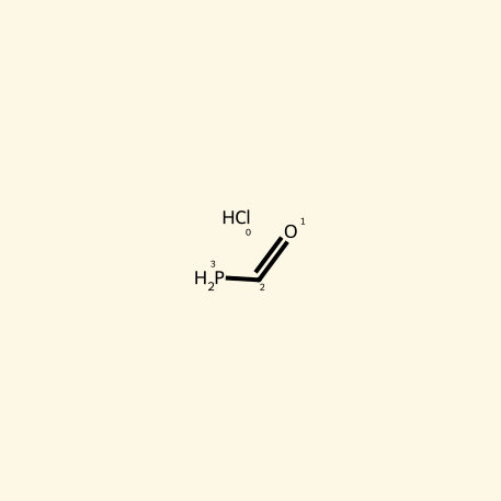 Cl.O=CP